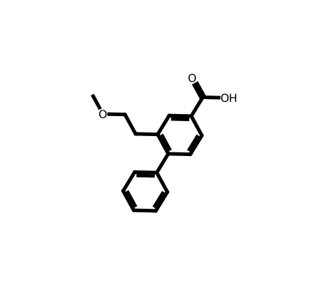 COCCc1cc(C(=O)O)ccc1-c1ccccc1